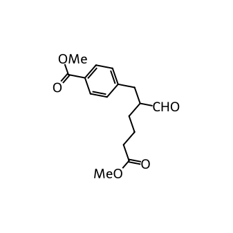 COC(=O)CCCC(C=O)Cc1ccc(C(=O)OC)cc1